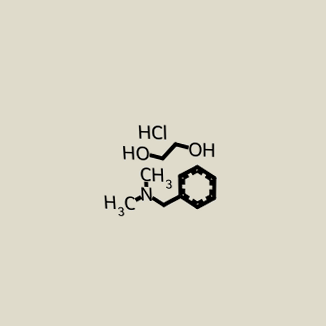 CN(C)Cc1ccccc1.Cl.OCCO